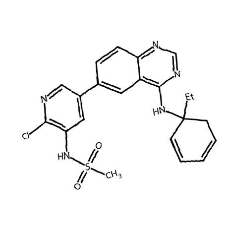 CCC1(Nc2ncnc3ccc(-c4cnc(Cl)c(NS(C)(=O)=O)c4)cc23)C=CC=CC1